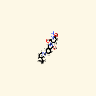 CC(C)(C)C1CCCN(c2ccc3c(c2)CN(C2CCC(=O)NC2=O)C3=O)C1